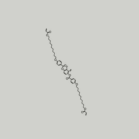 C=CC(=O)OCCCCCCCCCCCOc1ccc(C(=O)Oc2ccc(OC(=O)c3ccc(OCCCCCCCCCCCOC(=O)C=C)cc3)c(F)c2F)cc1